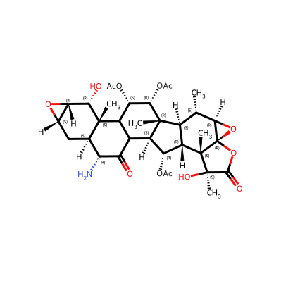 CC(=O)O[C@H]1[C@@H]2[C@H]([C@H](C)[C@H]3O[C@]34OC(=O)[C@@](C)(O)[C@]24C)[C@]2(C)[C@@H]1C1C(=O)[C@H](N)[C@H]3C[C@@H]4O[C@@H]4[C@H](O)[C@]3(C)C1[C@H](OC(C)=O)[C@@H]2OC(C)=O